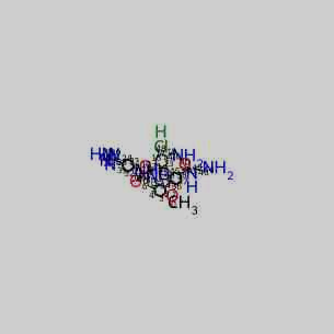 COc1ccc(C[C@H](NC(=O)[C@H]2CC[C@H](CN)CC2)C(=O)Nc2ccc(-c3nn[nH]n3)cc2)cc1-c1ccc(C(=O)NCCN)cc1C.Cl